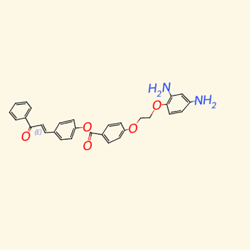 Nc1ccc(OCCOc2ccc(C(=O)Oc3ccc(/C=C/C(=O)c4ccccc4)cc3)cc2)c(N)c1